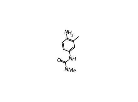 CNC(=O)Nc1ccc(N)c(C)c1